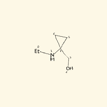 CCNC1(CO)CC1